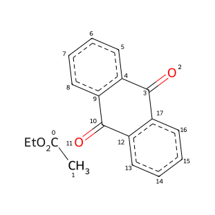 CCOC(C)=O.O=C1c2ccccc2C(=O)c2ccccc21